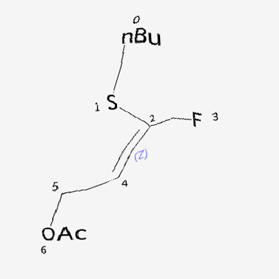 CCCCS/C(F)=C\COC(C)=O